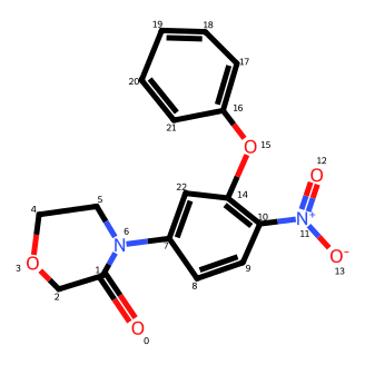 O=C1COCCN1c1ccc([N+](=O)[O-])c(Oc2ccccc2)c1